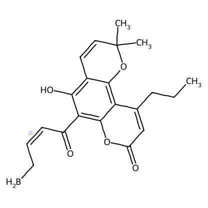 BC/C=C\C(=O)c1c(O)c2c(c3c(CCC)cc(=O)oc13)OC(C)(C)C=C2